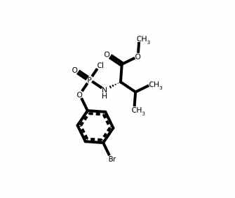 COC(=O)[C@@H](NP(=O)(Cl)Oc1ccc(Br)cc1)C(C)C